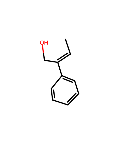 CC=C(CO)c1ccccc1